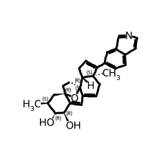 C[C@H]1C[C@@]23CC[C@@]4(O2)C(=CC[C@]2(C)C(c5ccc6ccncc6c5)=CC[C@H]24)C=C3[C@@H](O)[C@@H]1O